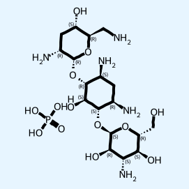 NC[C@H]1O[C@H](O[C@H]2[C@H](O)[C@@H](O[C@H]3O[C@H](CO)[C@@H](O)[C@H](N)[C@H]3O)[C@H](N)C[C@@H]2N)[C@H](N)C[C@@H]1O.O=P(O)(O)O